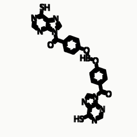 O=C(c1ccc(OBOc2ccc(C(=O)n3cnc4c(S)ncnc43)cc2)cc1)n1cnc2c(S)ncnc21